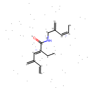 C=CC(=C)/C=C(\CC)C(=O)NCC(=C)/C=C\C